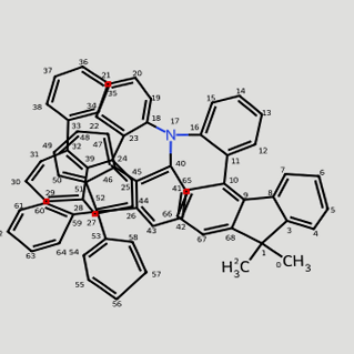 CC1(C)c2ccccc2-c2c(-c3ccccc3N(c3ccccc3-c3cccc4cccc(-c5ccccc5)c34)c3cccc4c3-c3ccccc3C4(c3ccccc3)c3ccccc3)cccc21